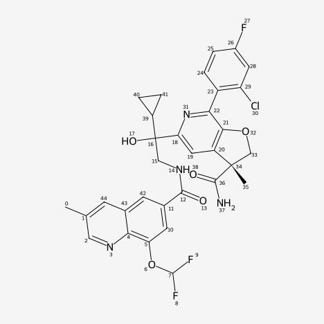 Cc1cnc2c(OC(F)F)cc(C(=O)NCC(O)(c3cc4c(c(-c5ccc(F)cc5Cl)n3)OC[C@]4(C)C(N)=O)C3CC3)cc2c1